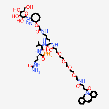 CC(C)C(NC(=O)[C@@H](CCCCNC(=O)COC1CCCCCc2c1nnn2[C@@H]1O[C@H](CO)[C@H](O)[C@H](O)[C@H]1O)NC(=O)CCOCCOCCOCCOCCNC(=O)CCC(=O)N1Cc2ccccc2C#Cc2ccccc21)C(=O)N[C@@H](CCCNC(N)=O)C(=O)P